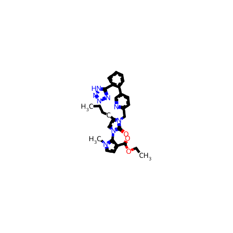 CCCCc1cn(-c2c(C(=O)OCC)ccn2C)c(=O)n1Cc1ccc(-c2ccccc2-c2nnn[nH]2)cn1